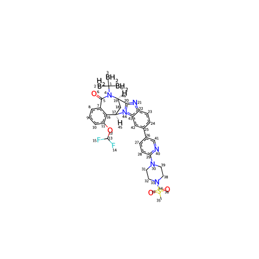 BC(B)(B)N1C(=O)c2cccc(OC(F)F)c2[C@H]2C[C@@H]1c1nc3ccc(-c4ccc(N5CCN(S(C)(=O)=O)CC5)nc4)cc3n12